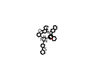 c1ccc(-c2nc(-c3ccc4c(c3)sc3ccccc34)nc(-c3cccc4oc5c6ccccc6c(-n6c7cc8ccccc8cc7c7c8ccccc8ccc76)cc5c34)n2)cc1